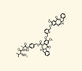 COc1cc2c(cc1OCc1cccc(COc3cc4c(cc3OC)C(=O)N3c5ccccc5C[C@H]3CN4C(=O)OCc3ccc(NC(=O)[C@H](C)NC(=O)[C@@H](N)C(C)C)cc3)n1)N=C[C@@H]1Cc3ccccc3N1C2=O